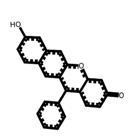 O=c1ccc2c(-c3ccccc3)c3cc4ccc(O)cc4cc3oc-2c1